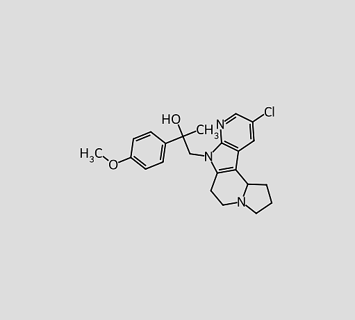 COc1ccc(C(C)(O)Cn2c3c(c4cc(Cl)cnc42)C2CCCN2CC3)cc1